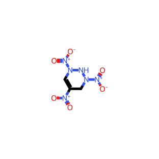 O=[N+]([O-])C1=CN([N+](=O)[O-])NN([N+](=O)[O-])C1